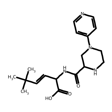 CC(C)(C)C=CC(NC(=O)C1CN(c2ccncc2)CCN1)C(=O)O